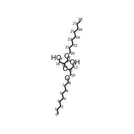 CCCCCCCCCOCC(CO)OC(CO)COCCCCCCCCC